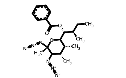 CC[C@@H](C)[C@@H](OC(=O)c1ccccc1)C1O[C@@](C)(N=[N+]=[N-])C(N=[N+]=[N-])[C@@H](C)[C@H]1C